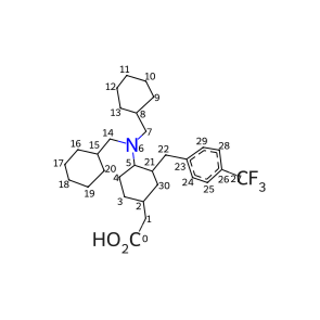 O=C(O)CC1CCC(N(CC2CCCCC2)CC2CCCCC2)C(Cc2ccc(C(F)(F)F)cc2)C1